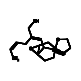 C#CC(/C=C(/CO)C/C=C\C)C12CCC3(CC1O2)OCCO3